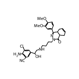 COc1ccc(C2=NN(CCCCNCC(O)c3cc(Cl)c(N)c(C#N)c3)C(=O)C3CC=CCC23)cc1OC